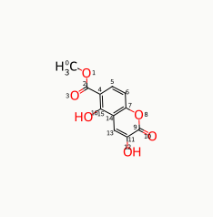 COC(=O)c1ccc2oc(=O)c(O)cc2c1O